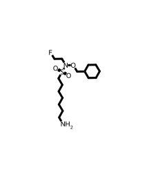 NCCCCCCCS(=O)(=O)N(CCF)OCC1CCCCC1